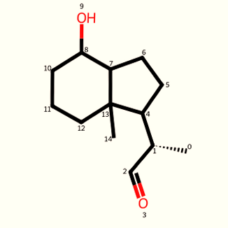 C[C@H](C=O)C1CCC2C(O)CCCC21C